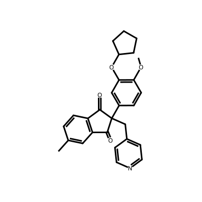 COc1ccc(C2(Cc3ccncc3)C(=O)c3ccc(C)cc3C2=O)cc1OC1CCCC1